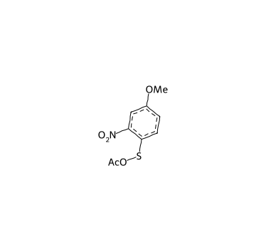 COc1ccc(SOC(C)=O)c([N+](=O)[O-])c1